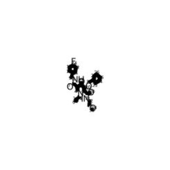 C=CCn1cc(C(=O)NCc2ccc(F)cc2)c(=O)c(OCc2ccccc2)c1C(=O)NCCOC